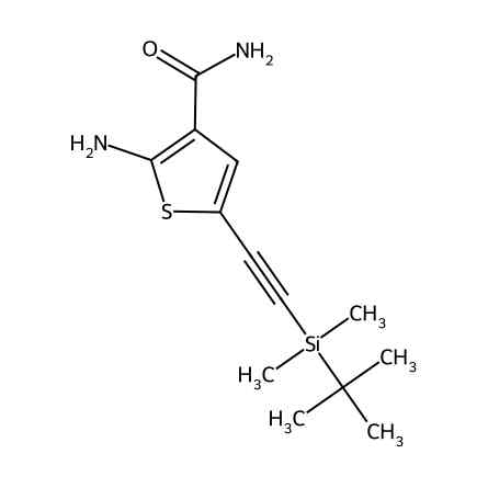 CC(C)(C)[Si](C)(C)C#Cc1cc(C(N)=O)c(N)s1